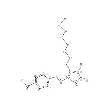 CCCCCCCCc1c(/C=C/c2ccc(OC)cc2)sc(C)c1C